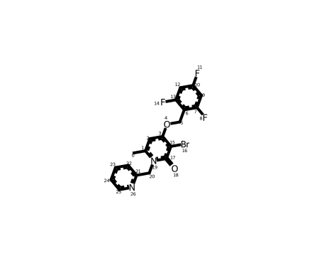 Cc1cc(OCc2c(F)cc(F)cc2F)c(Br)c(=O)n1Cc1ccccn1